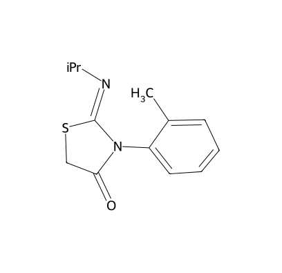 Cc1ccccc1N1C(=O)CSC1=NC(C)C